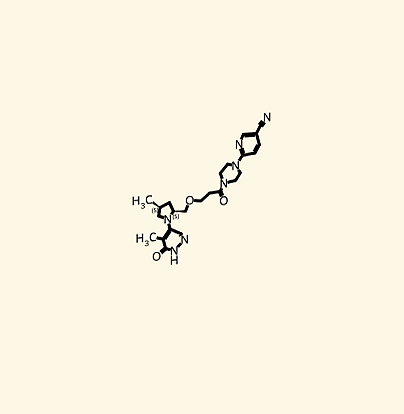 Cc1c(N2C[C@@H](C)C[C@H]2COCCC(=O)N2CCN(c3ccc(C#N)cn3)CC2)cn[nH]c1=O